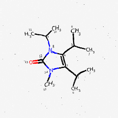 CC(C)c1c(C(C)C)n(C(C)C)c(=O)n1C